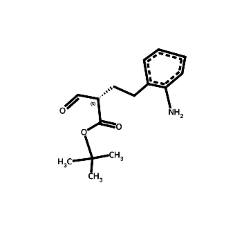 CC(C)(C)OC(=O)[C@H](C=O)CCc1ccccc1N